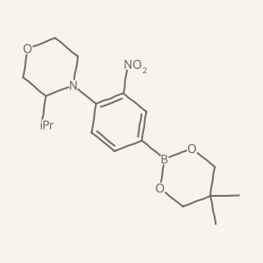 CC(C)C1COCCN1c1ccc(B2OCC(C)(C)CO2)cc1[N+](=O)[O-]